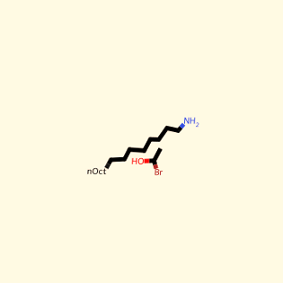 CC(O)Br.CCCCCCCCCCCCCCCCN